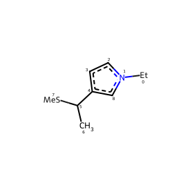 CCn1ccc(C(C)SC)c1